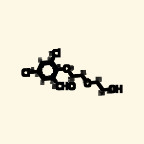 O=Cc1cc(Cl)cc(Cl)c1OCCOCCO